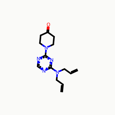 C=CCN(CC=C)c1ncnc(N2CCC(=O)CC2)n1